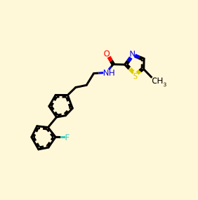 Cc1cnc(C(=O)NCCCc2ccc(-c3ccccc3F)cc2)s1